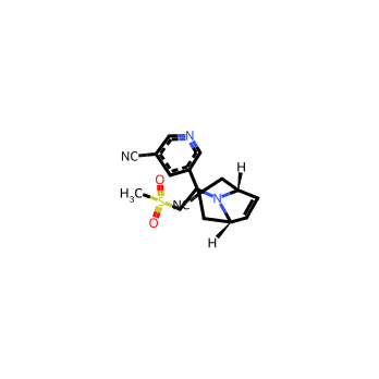 CS(=O)(=O)CCN1[C@@H]2C=C[C@H]1CC(C#N)(c1cncc(C#N)c1)C2